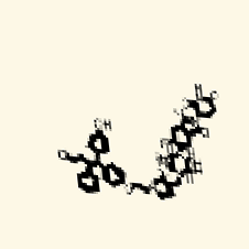 [2H]C1([2H])N(CC2CCN(CCOc3ccc(C(=C(CCCl)c4ccccc4)c4ccc(O)cc4)cc3)CC2)C([2H])([2H])C([2H])([2H])N(c2cc3c(cc2F)C(=O)N(C2CCC(=O)NC2=O)C3=O)C1([2H])[2H]